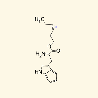 CC/C=C\CCOC(=O)C(N)Cc1c[nH]c2ccccc12